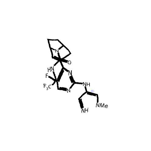 CN/C=C(\C=N)Nc1ncc(F)c(C2=CC3CCC(C2)N3C(=O)NCC(F)(F)F)n1